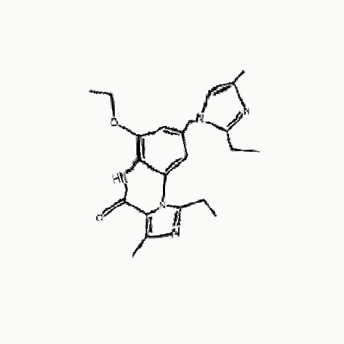 CCOc1cc(-n2cc(C)nc2CC)cc2c1[nH]c(=O)c1c(C)nc(CC)n12